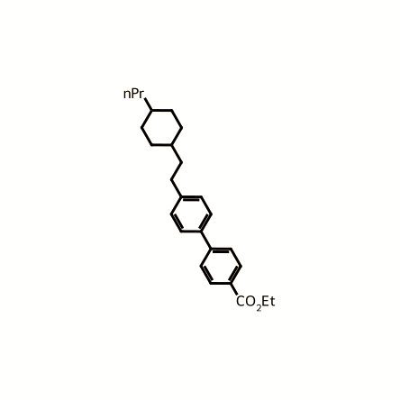 CCCC1CCC(CCc2ccc(-c3ccc(C(=O)OCC)cc3)cc2)CC1